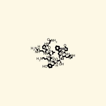 CC(C)C[C@H](NC(=O)[C@@H](CCCCN)NC(=O)[C@H](Cc1ccc(O)cc1)NC(=O)[C@H](CO)NC[C@H](Cc1c[nH]c2ccccc12)NC(=O)[C@H](Cc1c[nH]cn1)NC(=O)[C@@H]1CCC(=O)N1)C(=O)N[C@@H](CCCNC(=N)N)C(=O)N1CCC[C@H]1C(=O)NCC(N)=O